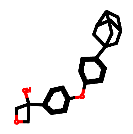 OC1(c2ccc(Oc3ccc(C45CC6CC(C4)C(C6)C5)cc3)cc2)COC1